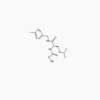 Cc1ccc(CNC(=O)[C@@H](COC(F)F)NC(=O)OC(C)(C)C)cc1